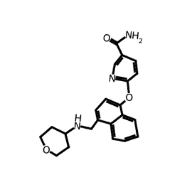 NC(=O)c1ccc(Oc2ccc(CNC3CCOCC3)c3ccccc23)nc1